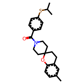 Cc1ccc2c(c1)CCC1(CCN(C(=O)c3ccc(SC(C)C)cc3)CC1)O2